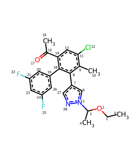 CCOC(C)n1cc(-c2c(C)c(Cl)cc(C(C)=O)c2-c2cc(F)cc(F)c2)cn1